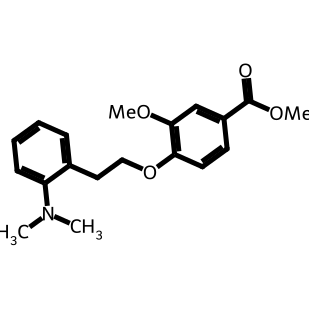 COC(=O)c1ccc(OCCc2ccccc2N(C)C)c(OC)c1